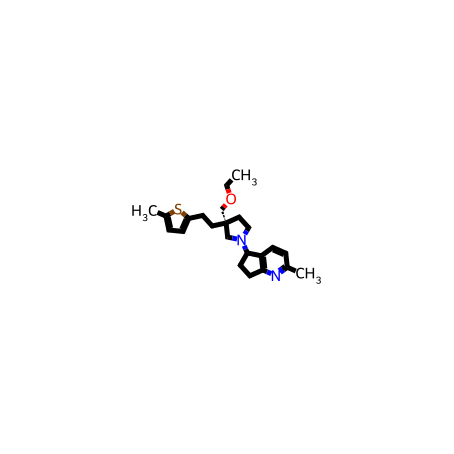 CCOC[C@]1(CCc2ccc(C)s2)CCN(C2CCc3nc(C)ccc32)C1